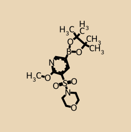 COc1ncc(B2OC(C)(C)C(C)(C)O2)cc1S(=O)(=O)N1CCOCC1